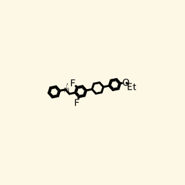 CCOc1ccc(C2CCC(c3cc(F)c(C[C@@H](C)c4ccccc4)c(F)c3)CC2)cc1